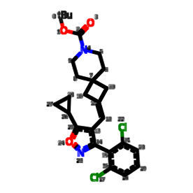 CC(C)(C)OC(=O)N1CCC2(CC1)CC(=Cc1c(-c3c(Cl)cccc3Cl)noc1C1CC1)C2